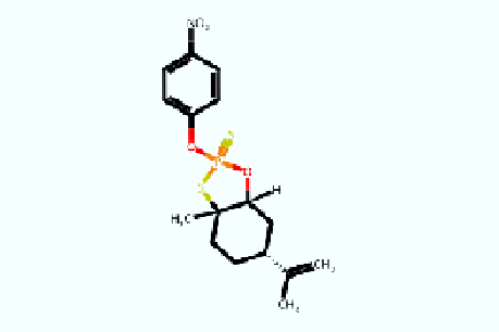 C=C(C)[C@@H]1CC[C@]2(C)SP(=S)(Oc3ccc([N+](=O)[O-])cc3)O[C@@H]2C1